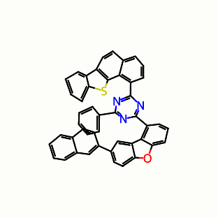 c1ccc(-c2nc(-c3cccc4oc5ccc(-c6ccc7ccccc7c6)cc5c34)nc(-c3cccc4ccc5c6ccccc6sc5c34)n2)cc1